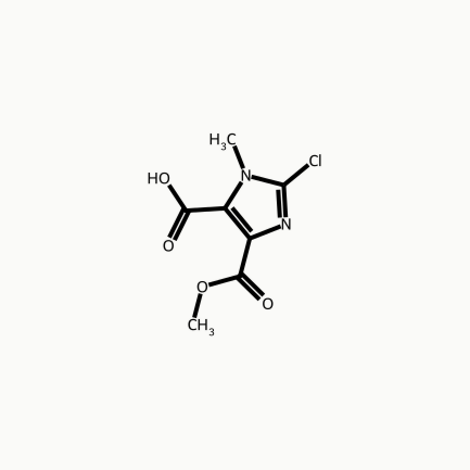 COC(=O)c1nc(Cl)n(C)c1C(=O)O